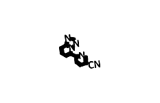 N#Cc1ccc(-c2cccc3ncnn23)nc1